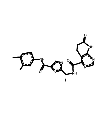 Cc1ccc(NC(=O)c2cnc([C@@H](C)NC(=O)c3ncnc4c3CCC(=O)N4)s2)cc1C